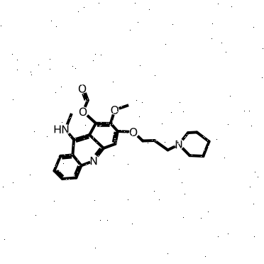 CNc1c2ccccc2nc2cc(OCCCN3CCCCC3)c(OC)c(OC=O)c12